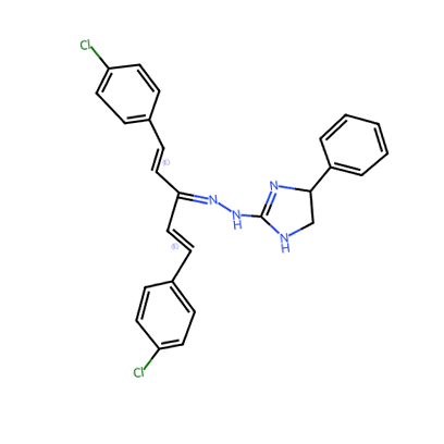 Clc1ccc(/C=C/C(/C=C/c2ccc(Cl)cc2)=NNC2=NC(c3ccccc3)CN2)cc1